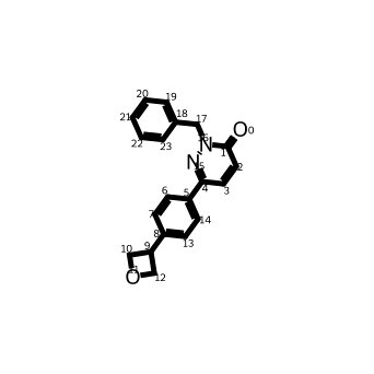 O=c1ccc(-c2ccc(C3COC3)cc2)nn1Cc1ccccc1